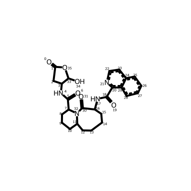 O=C1CC(NC(=O)C2CCCC3CCCCC(NC(=O)c4nccc5ccccc45)C(=O)N32)C(O)O1